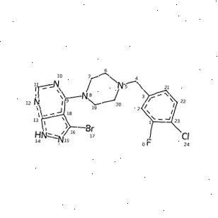 Fc1cc(CN2CCN(c3ncnc4[nH]nc(Br)c34)CC2)ccc1Cl